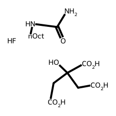 CCCCCCCCNC(N)=O.F.O=C(O)CC(O)(CC(=O)O)C(=O)O